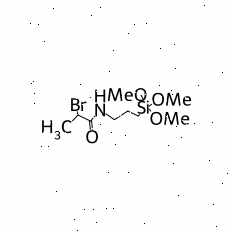 CO[Si](CCCNC(=O)C(C)Br)(OC)OC